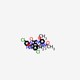 COc1ccc(NC(C)=O)cc1-n1cc2c(c1C(C)C)[C@@]1(C(=O)Nc3cc(Cl)ccc31)N(c1cc(Cl)ccc1C)C2=O